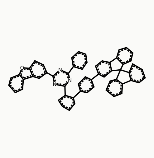 c1ccc(-c2nc(-c3ccc4oc5ccccc5c4c3)nc(-c3ccccc3-c3ccc(-c4ccc5c(c4)C4(c6ccccc6-c6ccccc64)c4ccccc4-5)cc3)n2)cc1